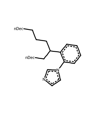 CCCCCCCCCCCCCC(CCCCCCCCCCC)c1ccccc1-n1ccnc1